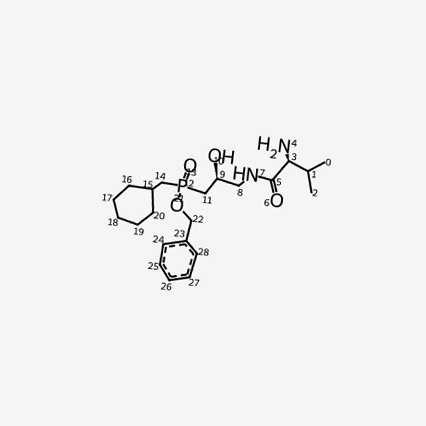 CC(C)[C@H](N)C(=O)NC[C@H](O)CP(=O)(CC1CCCCC1)OCc1ccccc1